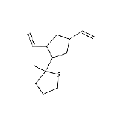 C=CC1CC(C=C)C(C2(C)CCCS2)C1